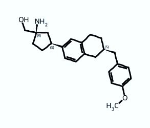 COc1ccc(C[C@@H]2CCc3cc([C@H]4CC[C@](N)(CO)C4)ccc3C2)cc1